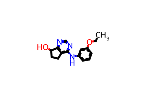 CCOc1cccc(Nc2ncnc3c2CCC3O)c1